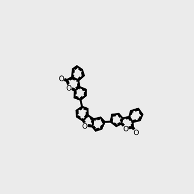 O=c1oc2cc(-c3ccc4oc5ccc(-c6ccc7c(c6)oc(=O)c6ccccc67)cc5c4c3)ccc2c2ccccc12